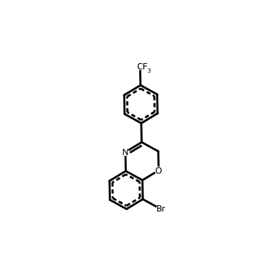 FC(F)(F)c1ccc(C2=Nc3cccc(Br)c3OC2)cc1